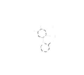 O=c1ccccn1-c1c(O)c(O)c(Br)c(O)c1O